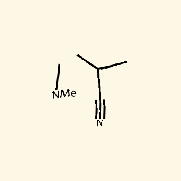 CC(C)C#N.CNC